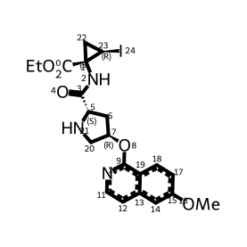 CCOC(=O)[C@@]1(NC(=O)[C@@H]2C[C@@H](Oc3nccc4cc(OC)ccc34)CN2)C[C@H]1I